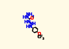 NNC(=O)NNNc1ccc(OC(F)(F)F)cc1